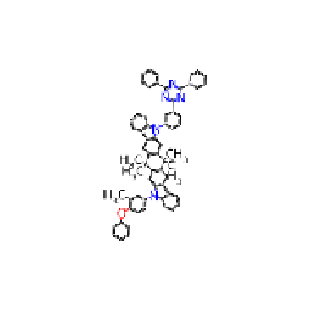 Cc1cc(-n2c3ccccc3c3cc4c(cc32)C(C)(C)c2cc3c5ccccc5n(-c5cccc(-c6nc(-c7ccccc7)nc(-c7ccccc7)n6)c5)c3cc2C4(C)C)ccc1Oc1ccccc1